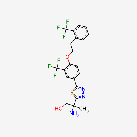 CC(N)(CO)c1nnc(-c2ccc(OCCc3ccccc3C(F)(F)F)c(C(F)(F)F)c2)s1